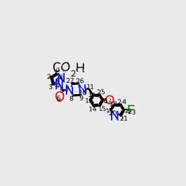 O=C(O)c1ccn(C(=O)N2CCN(Cc3cccc(Oc4cncc(F)c4)c3)CC2)n1